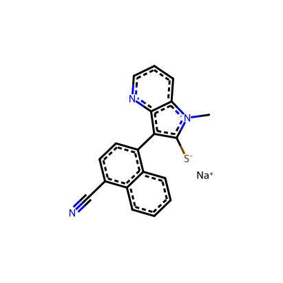 Cn1c([S-])c(-c2ccc(C#N)c3ccccc23)c2ncccc21.[Na+]